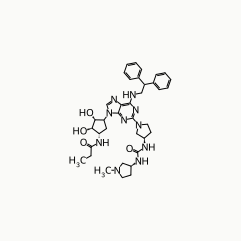 CCC(=O)N[C@H]1CC(n2cnc3c(NCC(c4ccccc4)c4ccccc4)nc(N4CC[C@@H](NC(=O)N[C@H]5CCN(C)C5)C4)nc32)[C@H](O)[C@@H]1O